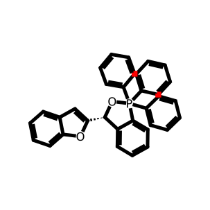 c1ccc(P2(c3ccccc3)(c3ccccc3)O[C@@H](c3cc4ccccc4o3)c3ccccc32)cc1